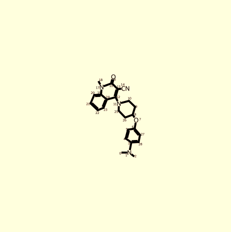 CN(C)c1ccc(OC2CCN(c3c(C#N)c(=O)n(C)c4ccccc34)CC2)cc1